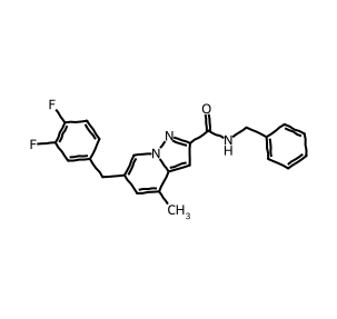 Cc1cc(Cc2ccc(F)c(F)c2)cn2nc(C(=O)NCc3ccccc3)cc12